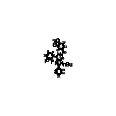 CCCCn1c(CN(CCc2cccc(F)c2F)Cc2ccc3c(c2)OCO3)cnc1-c1ccccc1